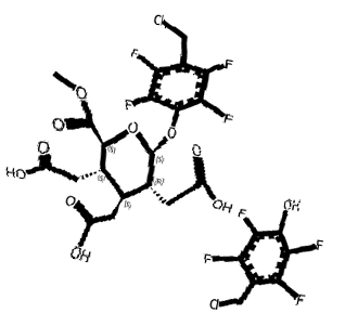 COC(=O)[C@H]1O[C@@H](Oc2c(F)c(F)c(CCl)c(F)c2F)[C@H](CC(=O)O)[C@@H](CC(=O)O)[C@@H]1CC(=O)O.Oc1c(F)c(F)c(CCl)c(F)c1F